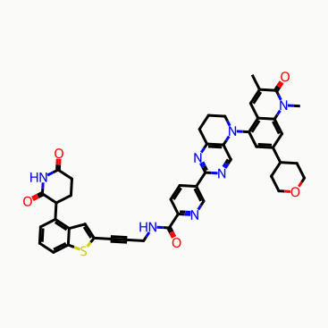 Cc1cc2c(N3CCCc4nc(-c5ccc(C(=O)NCC#Cc6cc7c(C8CCC(=O)NC8=O)cccc7s6)nc5)ncc43)cc(C3CCOCC3)cc2n(C)c1=O